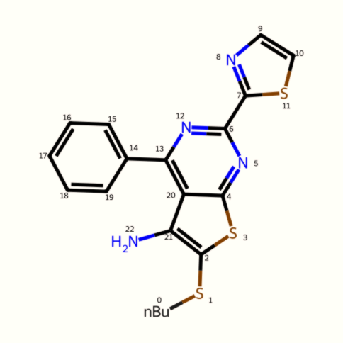 CCCCSc1sc2nc(-c3nccs3)nc(-c3ccccc3)c2c1N